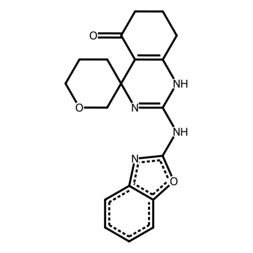 O=C1CCCC2=C1C1(CCCOC1)N=C(Nc1nc3ccccc3o1)N2